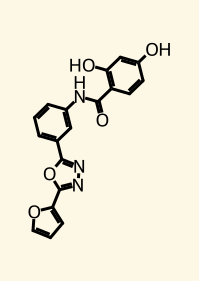 O=C(Nc1cccc(-c2nnc(-c3ccco3)o2)c1)c1ccc(O)cc1O